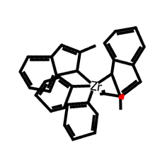 C[CH]=[Zr]([c]1ccccc1)([c]1ccccc1)([CH]1C(C)=Cc2ccccc21)[CH]1C(C)=Cc2ccccc21